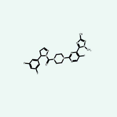 Cn1nc(C#N)nc1-c1nc(N2CCN(C(=O)N3N=CCC3c3cc(F)cc(F)c3)CC2)ncc1F